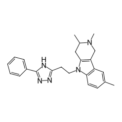 Cc1ccc2c(c1)c1c(n2CCc2nnc(-c3ccccc3)[nH]2)CC(C)N(C)C1